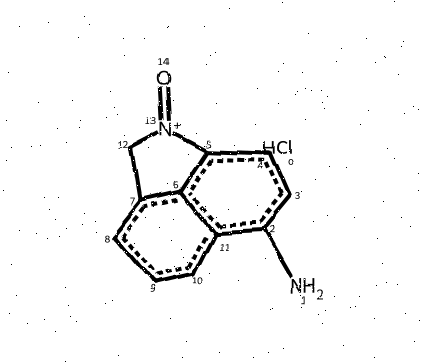 Cl.Nc1ccc2c3c(cccc13)C[N+]2=O